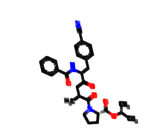 CC(C)OC(=O)[C@@H]1CCCN1C(=O)C(C)CC(=O)C(Cc1ccc(C#N)cc1)NC(=O)c1ccccc1